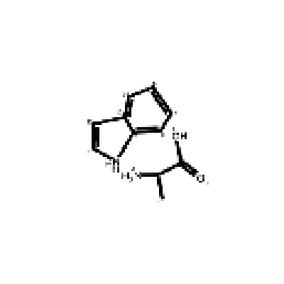 CC(N)C(=O)O.c1ccc2[nH]ccc2c1